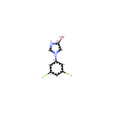 Fc1cc(F)cc(-n2cnc(Br)c2)c1